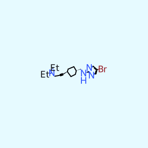 CCN(CC)CC#C[C@H]1CC[C@H](CNc2ncc(Br)cn2)CC1